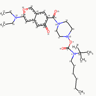 CCCCCCN(C(=O)ON1CCN(C(=O)c2cc3coc(N(CC)CC)cc-3cc2=O)CC1)C(C)(C)C